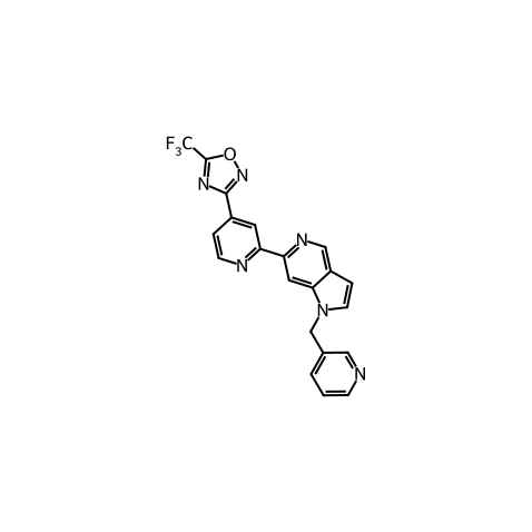 FC(F)(F)c1nc(-c2ccnc(-c3cc4c(ccn4Cc4cccnc4)cn3)c2)no1